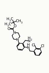 CC(C)(C)OC(=O)N1CCN(c2cccc(NCc3cccc(Cl)c3Cl)c2CN)CC1